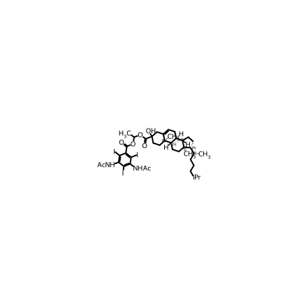 CC(=O)Nc1c(I)c(NC(C)=O)c(I)c(C(=O)OC(C)OC(=O)C2(O)CC[C@@]3(C)C(=CC[C@H]4[C@@H]5CC[C@H]([C@H](C)CCCC(C)C)[C@@]5(C)CC[C@@H]43)C2)c1I